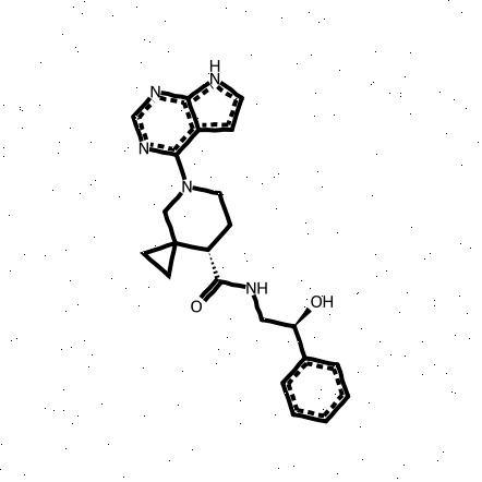 O=C(NC[C@@H](O)c1ccccc1)[C@H]1CCN(c2ncnc3[nH]ccc23)CC12CC2